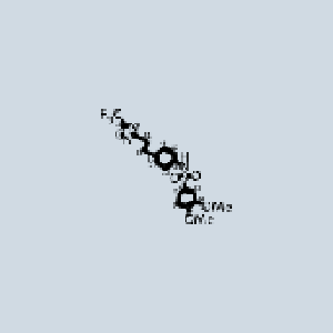 COc1ccc(S(=O)(=O)Nc2ccc(C=Cc3noc(C(F)(F)F)n3)cc2)cc1OC